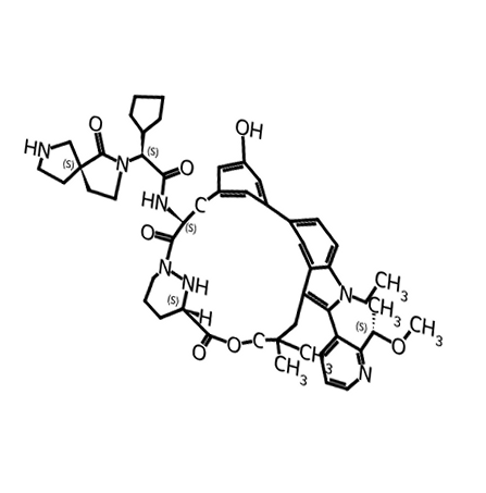 CCn1c(-c2cccnc2[C@H](C)OC)c2c3cc(ccc31)-c1cc(O)cc(c1)C[C@H](NC(=O)[C@H](C1CCCC1)N1CC[C@]3(CCNC3)C1=O)C(=O)N1CCC[C@H](N1)C(=O)OCC(C)(C)C2